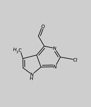 Cc1c[nH]c2nc(Cl)nc(C=O)c12